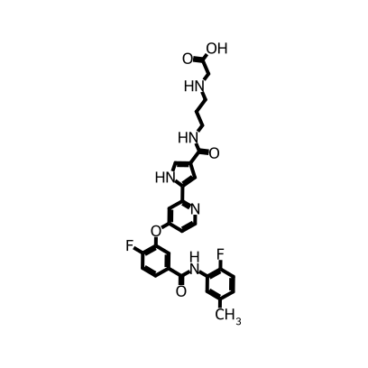 Cc1ccc(F)c(NC(=O)c2ccc(F)c(Oc3ccnc(-c4cc(C(=O)NCCCNCC(=O)O)c[nH]4)c3)c2)c1